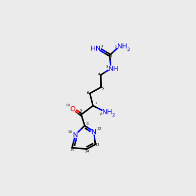 N=C(N)NCCCC(N)C(=O)c1ncccn1